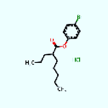 CCCCCC(CCC)C(=O)Oc1ccc(Br)cc1.Cl